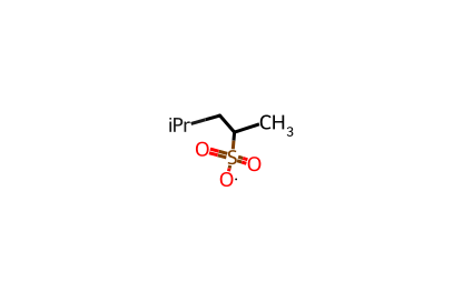 CC(C)CC(C)S([O])(=O)=O